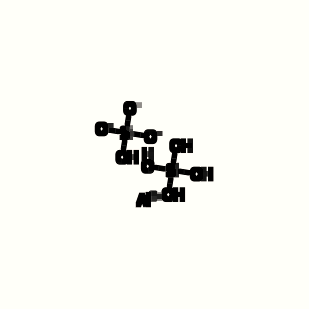 O[Si](O)(O)O.[Al+3].[O-][Si]([O-])([O-])O